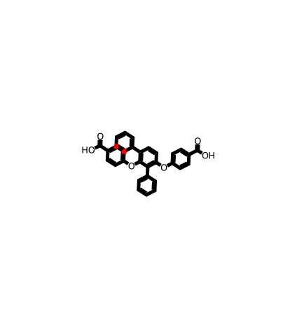 O=C(O)c1ccc(Oc2ccc(-c3ccccc3)c(Oc3ccc(C(=O)O)cc3)c2-c2ccccc2)cc1